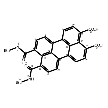 CC(C)(C)NC(=O)c1ccc2c3ccc(C(=O)O)c4c(C(=O)O)ccc(c5ccc(C(=O)NC(C)(C)C)c1c25)c43